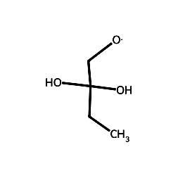 CCC(O)(O)C[O]